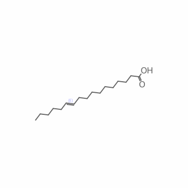 CCCCC/C=C/CCCCCCCCCC(=O)O